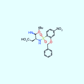 CC(C)(C)OC(=N)[C@H](CC(=O)O)NS(=O)(=O)c1ccc([N+](=O)[O-])cc1OCc1ccccc1